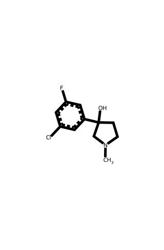 CN1CCC(O)(c2cc(F)cc(Cl)c2)C1